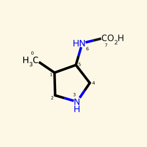 CC1CNCC1NC(=O)O